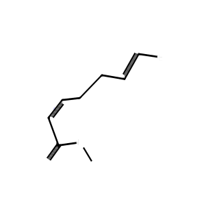 C=C(/C=C\CCC=CCC)PC